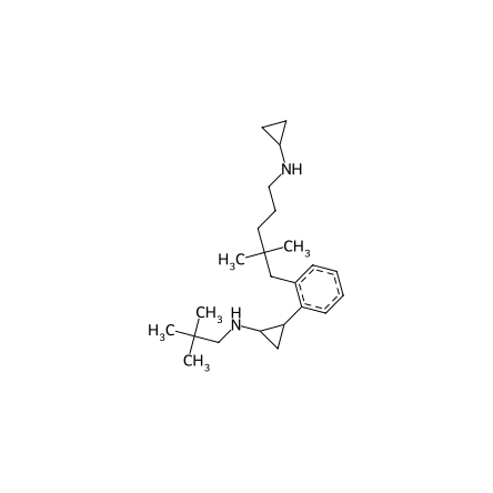 CC(C)(C)CNC1CC1c1ccccc1CC(C)(C)CCCNC1CC1